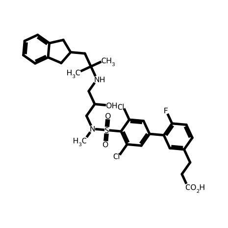 CN(CC(O)CNC(C)(C)CC1Cc2ccccc2C1)S(=O)(=O)c1c(Cl)cc(-c2cc(CCC(=O)O)ccc2F)cc1Cl